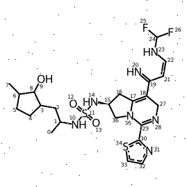 CC(CC1CCC(C)C1O)NS(=O)(=O)N[C@H]1CC2=C(C(=N)/C=C\NC(F)F)CN=C(c3nccs3)N2C1